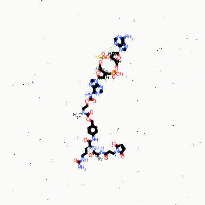 CC(C)[C@H](NC(=O)CCN1C(=O)C=CC1=O)C(=O)N[C@@H](CCCNC(N)=O)C(=O)Nc1ccc(COC(=O)N(C)CCOC(=O)Nc2ncnc3c2ncn3[C@@H]2O[C@@H]3CO[P@@](=O)(S)O[C@H]4[C@@H](F)[C@H](n5cnc6c(N)ncnc65)O[C@@H]4COP(=O)(O)C[C@H]3[C@H]2F)cc1